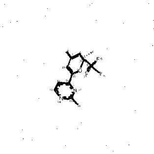 CC1=[C][C@@](C)(C(F)(F)F)OC(c2ccnc(C)n2)=C1